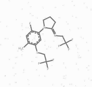 Cc1cc(F)c(N2CCCC2=NCC(F)(F)F)cc1SCC(F)(F)F